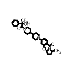 O=C(c1ccc(N2CCC(C3CCN(C(=O)C(O)(c4ccccc4)C(F)(F)F)CC3)CC2)cc1Cl)N1CCCC1C(F)(F)F